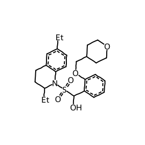 CCc1ccc2c(c1)CCC(CC)N2S(=O)(=O)C(O)c1ccccc1OCC1CCOCC1